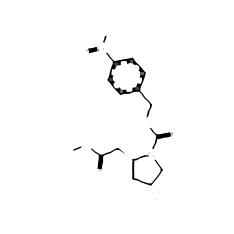 COC(=O)C[C@@H]1C[C@@H](O)CN1C(=O)OCc1ccc([N+](=O)[O-])cc1